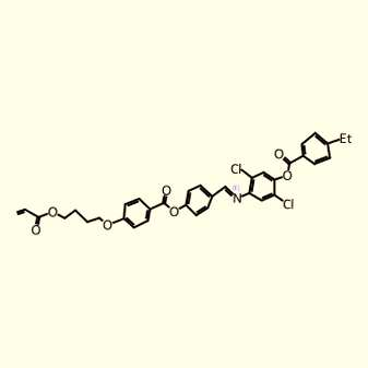 C=CC(=O)OCCCCOc1ccc(C(=O)Oc2ccc(/C=N/c3cc(Cl)c(OC(=O)c4ccc(CC)cc4)cc3Cl)cc2)cc1